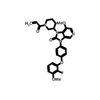 C=CC(=O)N1CCCC(n2c(=O)n(-c3ccc(Oc4cccc(OC)c4F)cc3)c3cncc(OC)c32)C1